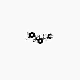 O=C(Nc1ccc(F)c(Cl)c1)c1cccc(NSC2CCOC2)c1